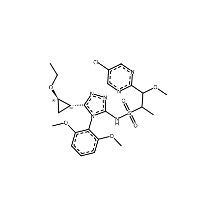 CCO[C@@H]1C[C@H]1c1nnc(NS(=O)(=O)C(C)C(OC)c2ncc(Cl)cn2)n1-c1c(OC)cccc1OC